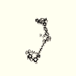 COC(=O)c1ccc(Oc2cccc(-c3cn(CCCCCCCCCCC(=O)NCC(=O)N4CCN(c5ncc(-c6ccc7c(n6)N(Cc6cccnc6C#N)C(C)(C)C7=O)cn5)C[C@H]4C)nn3)c2)nc1